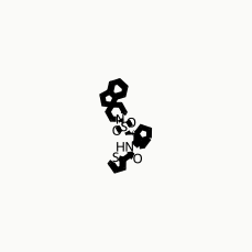 CC1(C)C2CC[C@@]1(CS(=O)(=O)N1CCC3(CCc4ccccc43)CC1)C(NC(=O)c1cccs1)C2